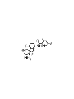 Cc1cc(Br)cnc1C(=O)Nc1ccc(F)c(C2(C(F)F)CNCC(N)=N2)c1